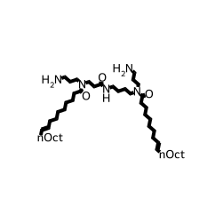 CCCCCCCCC=CCCCCCCCC(=O)N(CCCN)CCCCNC(=O)CCN(CCCN)C(=O)CCCCCCCC=CCCCCCCCC